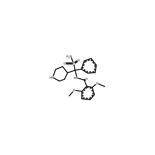 COc1cccc(OC)c1C(=O)NC(c1ccccc1)(C1CCNCC1)S(N)(=O)=O